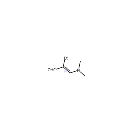 CC/C(C=O)=C\N(C)C